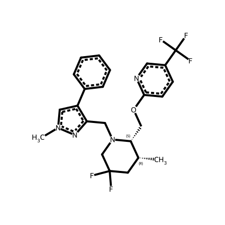 C[C@@H]1CC(F)(F)CN(Cc2nn(C)cc2-c2ccccc2)[C@@H]1COc1ccc(C(F)(F)F)cn1